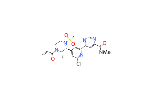 C=CC(=O)N1CCN(S(C)(=O)=O)[C@@H](c2cc(Cl)nc(-c3cc(C(=O)NC)ncn3)c2)[C@@H]1C